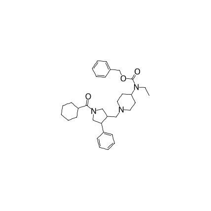 CCN(C(=O)OCc1ccccc1)C1CCN(CC2CN(C(=O)C3CCCCC3)CC2c2ccccc2)CC1